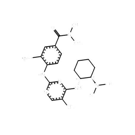 COc1cc(C(=O)N(C)C)ccc1Nc1ncc(C(F)(F)F)c(N[C@@H]2CCCC[C@H]2N(C)C(C)=O)n1